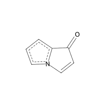 O=C1C=Cn2cccc21